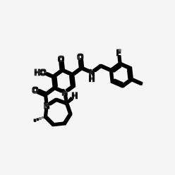 Cc1ccc(CNC(=O)c2cn3c(c(O)c2=O)C(=O)N2C[C@H]3CCC[C@@H]2C)c(F)c1